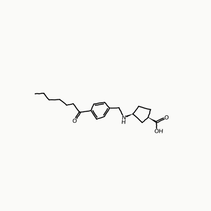 CCCCCCC(=O)c1ccc(CN[C@H]2CC[C@@H](C(=O)O)C2)cc1